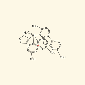 [CH2]=[Hf]([C]1=CC=CC1)([c]1ccc(C(C)(C)C)cc1)([c]1ccc(C(C)(C)C)cc1)[c]1c(C(C)(C)C)ccc2c1Cc1cc(C(C)(C)C)ccc1-2